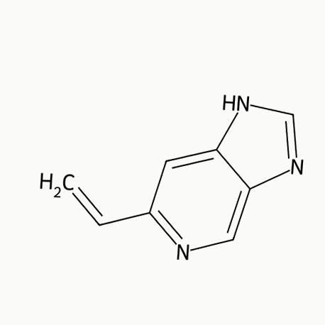 C=Cc1cc2[nH]cnc2cn1